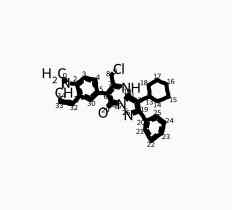 C=Nc1ccc(-c2c(CCl)[nH]c3c(C4CCCCC4)c(-c4ccccc4)nn3c2=O)cc1/C=C\C